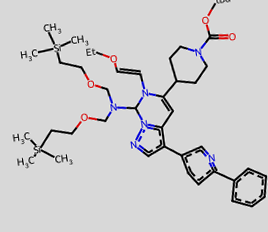 CCOC=CN1C(C2CCN(C(=O)OC(C)(C)C)CC2)=Cc2c(-c3ccc(-c4ccccc4)nc3)cnn2C1N(COCC[Si](C)(C)C)COCC[Si](C)(C)C